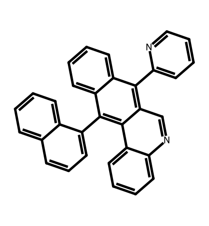 c1ccc(-c2c3ccccc3c(-c3cccc4ccccc34)c3c2cnc2ccccc23)nc1